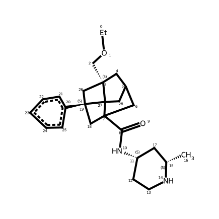 CCOC[C@@]12CC3CC4(C(=O)N[C@H]5CCN[C@@H](C)C5)C[C@](c5ccccc5)(C1)C42C3